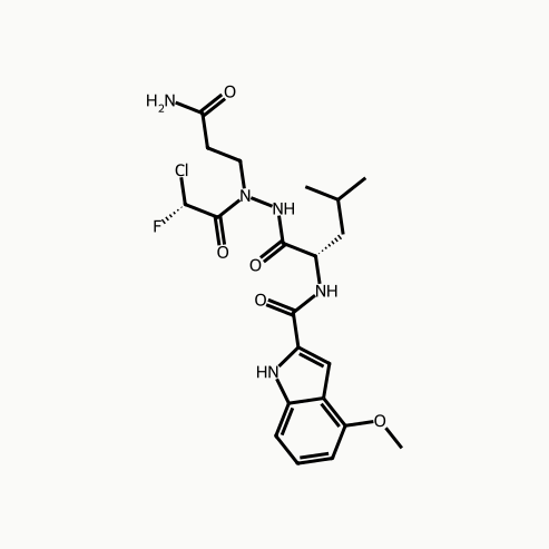 COc1cccc2[nH]c(C(=O)N[C@@H](CC(C)C)C(=O)NN(CCC(N)=O)C(=O)[C@H](F)Cl)cc12